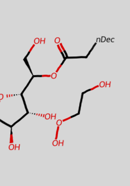 CCCCCCCCCCCC(=O)O[C@H](CO)[C@H]1OC[C@H](O)[C@H]1O.OCCOO